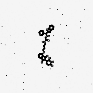 O=C(CNC(c1cccnc1)c1cc2ccccc2o1)NCCCCOc1cccc2c1C(=O)N(C1CCC(=O)NC1=O)C2=O